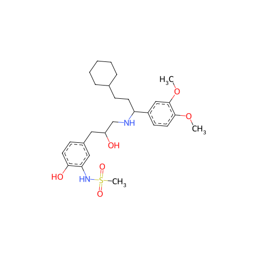 COc1ccc(C(CCC2CCCCC2)NCC(O)Cc2ccc(O)c(NS(C)(=O)=O)c2)cc1OC